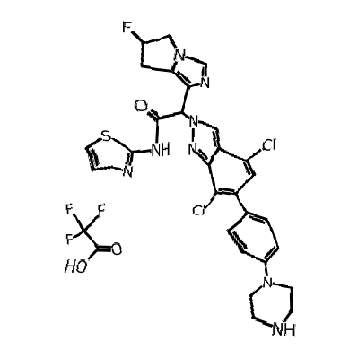 O=C(Nc1nccs1)C(c1ncn2c1CC(F)C2)n1cc2c(Cl)cc(-c3ccc(N4CCNCC4)cc3)c(Cl)c2n1.O=C(O)C(F)(F)F